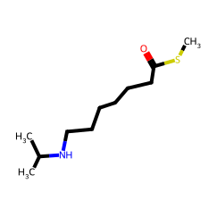 CSC(=O)CCCCCCNC(C)C